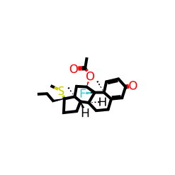 CCC[C@]1(SC)CC[C@H]2[C@@H]3CCC4=CC(=O)C=C[C@]4(C)[C@@]3(F)[C@@H](OC(C)=O)C[C@@]21C